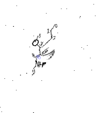 CCCC(OC)/C(C)=C/NC